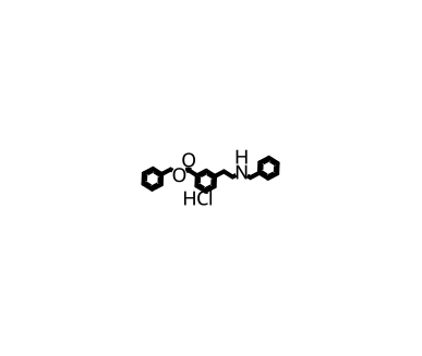 Cl.O=C(OCc1ccccc1)c1cccc(CCNCc2ccccc2)c1